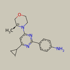 C[C@H]1COCCN1c1cc(C2[CH]C2)nc(-c2ccc(N)cc2)n1